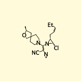 C=N/C(C#N)=C(/N1CCC2(CC1)CO[C@@H](C)C2)N1C(C/C=C\CC)[C@H]1Cl